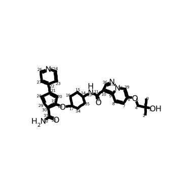 CC(C)(O)COc1ccc2c(C(=O)NC3CCC(Oc4cc(-c5ccncc5)ccc4C(N)=O)CC3)cnn2c1